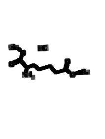 CCCCOC(=O)CCCCC(N)C(=O)OC(C)(C)C.Cl